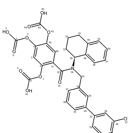 O=C(O)Oc1cc(OC(=O)O)c(C(=O)N(Cc2cccc(-c3ccc(F)c(Cl)c3)c2)[C@H]2CCCc3ccccc32)cc1OC(=O)O